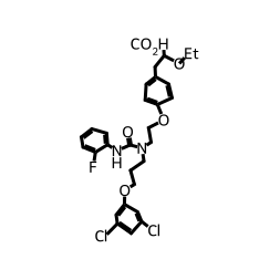 CCOC(Cc1ccc(OCCN(CCCOc2cc(Cl)cc(Cl)c2)C(=O)Nc2ccccc2F)cc1)C(=O)O